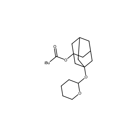 CCC(C)C(=O)OC12CC3CC(C1)CC(OC1CCCCO1)(C3)C2